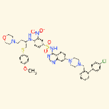 COc1ccc(SCC(CCN2CCOCC2)Nc2ccc(S(=O)(=O)Nc3ncnc4cc(N5CCN(Cc6ccccc6-c6ccc(Cl)cc6)CC5)ccc34)cc2[N+](=O)[O-])cc1